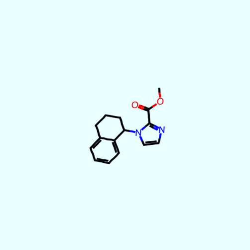 COC(=O)c1nccn1C1CCCc2ccccc21